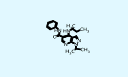 CCC(C)Nc1c(C(=O)Nc2ccccc2)cnc2c1cnn2C(C)C